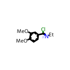 CC/N=C(\Cl)c1ccc(OC)c(OC)c1